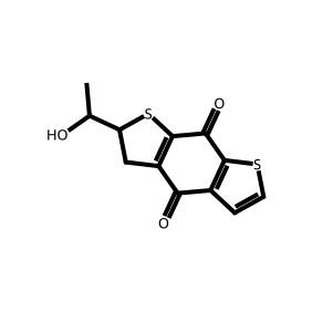 CC(O)C1CC2=C(S1)C(=O)c1sccc1C2=O